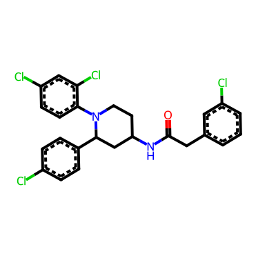 O=C(Cc1cccc(Cl)c1)NC1CCN(c2ccc(Cl)cc2Cl)C(c2ccc(Cl)cc2)C1